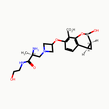 C[C@](N)(CN1CC(Oc2ccc3c(c2C(=O)O)OB(O)[C@H]2C[C@@H]32)C1)C(=O)NCCO